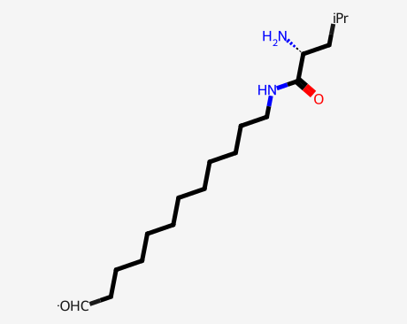 CC(C)C[C@@H](N)C(=O)NCCCCCCCCCCC[C]=O